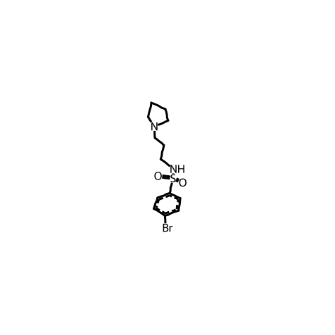 O=S(=O)(NCCCN1CCCC1)c1ccc(Br)cc1